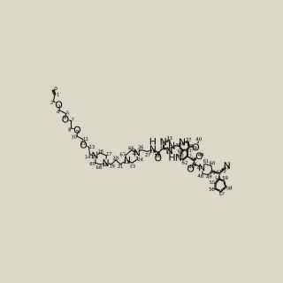 C#CCOCCOCCOCCOCCN1CCN(CCCN2CCN(CCNC(=O)c3ncn(-c4ncc(OC)c5c(C(=O)C(=O)N6CCC(=C(C#N)c7ccccc7)CC6)c[nH]c45)n3)CC2)CC1